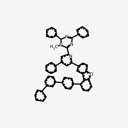 CN1C(c2cc(-c3ccccc3)cc(-c3ccc4oc5cccc(-c6ccc(-c7cccc(-c8ccccc8)c7)cc6)c5c4c3)n2)=NC(c2ccccc2)=NC1c1ccccc1